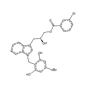 CCCCc1cc(O)c(Cn2cc(C[C@H](O)COC(=O)c3cccc(CC)c3)c3ccccc32)c(O)c1